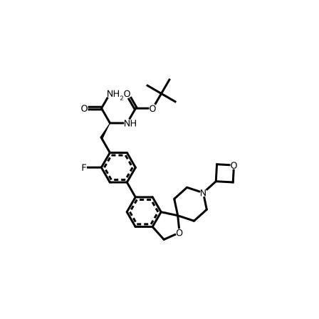 CC(C)(C)OC(=O)N[C@@H](Cc1ccc(-c2ccc3c(c2)C2(CCN(C4COC4)CC2)OC3)cc1F)C(N)=O